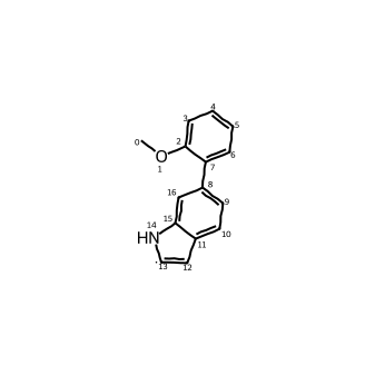 COc1ccccc1-c1ccc2c[c][nH]c2c1